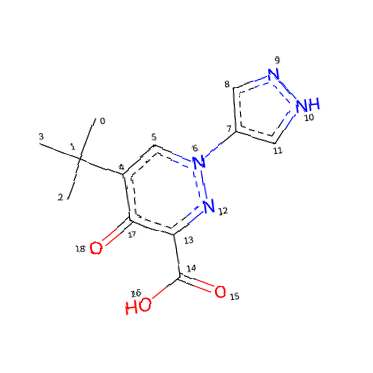 CC(C)(C)c1cn(-c2cn[nH]c2)nc(C(=O)O)c1=O